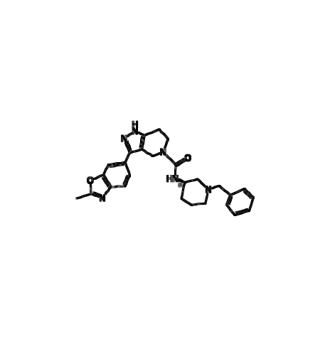 Cc1nc2ccc(-c3n[nH]c4c3CN(C(=O)N[C@@H]3CCCN(Cc5ccccc5)C3)CC4)cc2o1